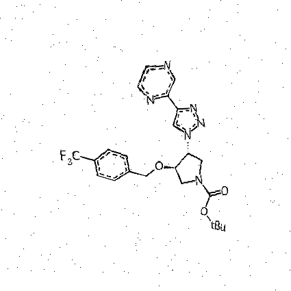 CC(C)(C)OC(=O)N1C[C@@H](n2cc(-c3cnccn3)nn2)[C@H](OCc2ccc(C(F)(F)F)cc2)C1